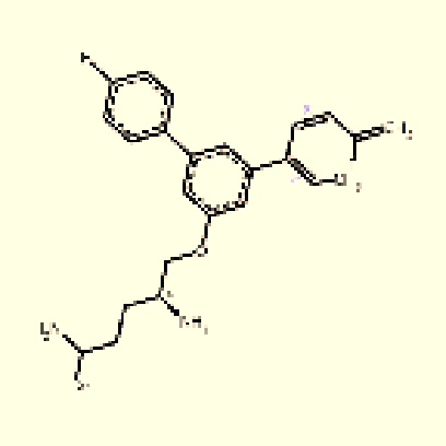 C=C(F)/C=C\C(=C/C)c1cc(OC[C@@H](N)CCC(N)C(C)C)cc(-c2ccc(F)cc2)c1